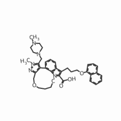 CN1CCN(Cc2c3c(nn2C)COCCCCn2c(C(=O)O)c(CCCOc4cccc5ccccc45)c4cccc-3c42)CC1